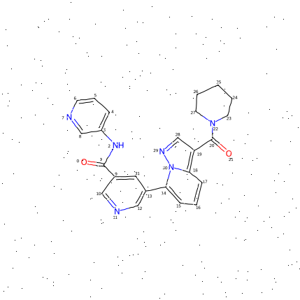 O=C(Nc1cccnc1)c1cncc(-c2cccc3c(C(=O)N4CCCCC4)cnn23)c1